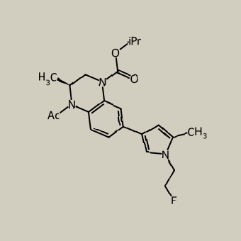 CC(=O)N1c2ccc(-c3cc(C)n(CCF)c3)cc2N(C(=O)OC(C)C)C[C@@H]1C